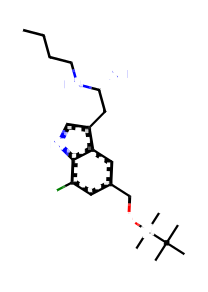 CCCCN[C@H](N)Cc1c[nH]c2c(F)cc(CO[Si](C)(C)C(C)(C)C)cc12